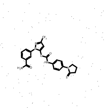 NC(=O)c1cccc(-n2nc(C(F)(F)F)cc2OC(=O)Nc2ccc(N3CCCC3=S)cc2)c1